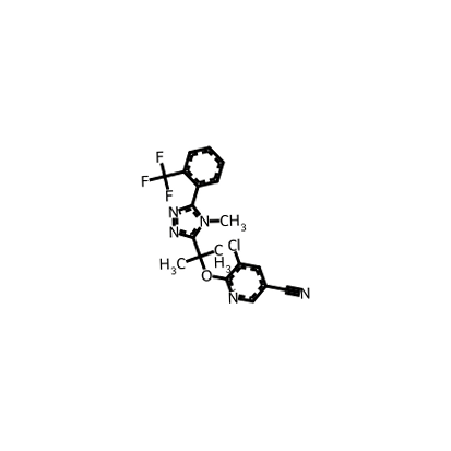 Cn1c(-c2ccccc2C(F)(F)F)nnc1C(C)(C)Oc1ncc(C#N)cc1Cl